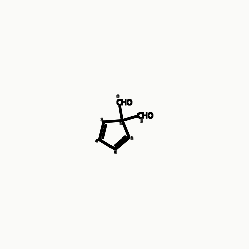 O=CC1(C=O)C=CC=C1